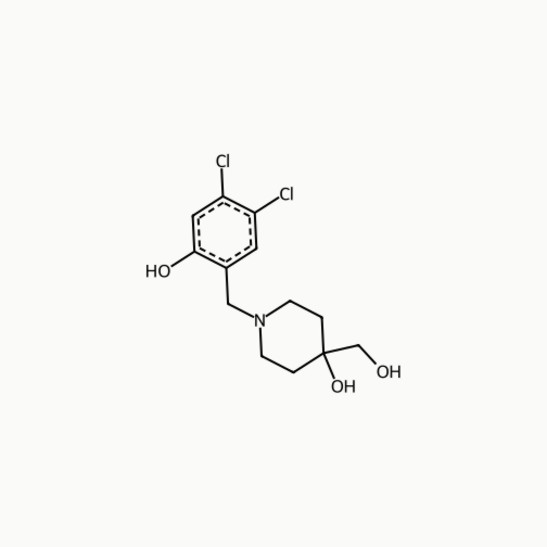 OCC1(O)CCN(Cc2cc(Cl)c(Cl)cc2O)CC1